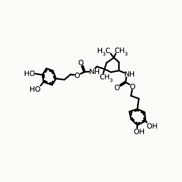 CC1(C)CC(NC(=O)OCCc2ccc(O)c(O)c2)CC(C)(CNC(=O)OCCc2ccc(O)c(O)c2)C1